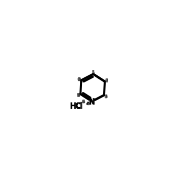 C1=CCCN=C1.Cl